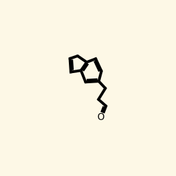 O=CCCc1ccc2c(c1)C=CC2